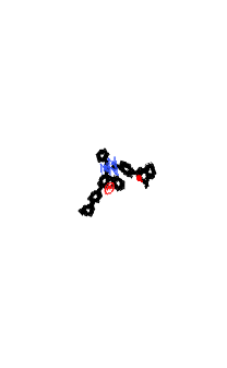 CC1CC(c2ccc(-c3nc(-c4ccccc4)nc(-c4ccc(-c5ccc(-c6ccccc6)cc5)c5oc6ccccc6c45)n3)cc2)=Cc2ccccc21